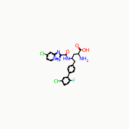 NC(CC(Cc1ccc(-c2cc(Cl)ccc2F)cc1)NC(=O)c1nc2cc(Cl)ccn2n1)C(=O)O